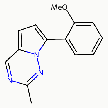 COc1ccccc1-c1ccc2cnc(C)nn12